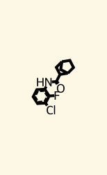 O=C(Nc1cccc(Cl)c1F)C1CC2CCC1C2